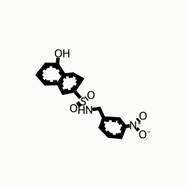 O=[N+]([O-])c1cccc(CNS(=O)(=O)c2ccc3c(O)cccc3c2)c1